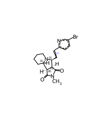 CN1C(=O)[C@@H]2[C@H](C1=O)[C@H](/C=C/c1ccc(Br)cn1)N1CCCC[C@@H]21